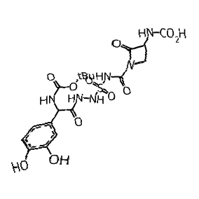 CC(C)(C)OC(=O)NC(C(=O)NNS(=O)(=O)NC(=O)N1CC(NC(=O)O)C1=O)c1ccc(O)c(O)c1